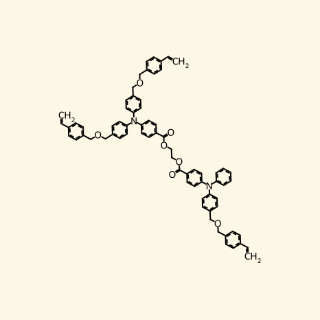 C=Cc1ccc(COCc2ccc(N(c3ccccc3)c3ccc(C(=O)OCCOC(=O)c4ccc(N(c5ccc(COCc6ccc(C=C)cc6)cc5)c5ccc(COCc6ccc(C=C)cc6)cc5)cc4)cc3)cc2)cc1